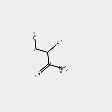 NC(=S)C(F)CF